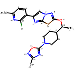 CSc1ccc(-c2cn3nc(O[C@@H](C)C4CCN(c5nc(C(C)C)no5)CC4)sc3n2)c(F)n1